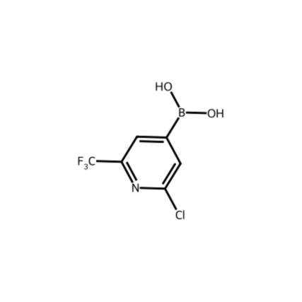 OB(O)c1cc(Cl)nc(C(F)(F)F)c1